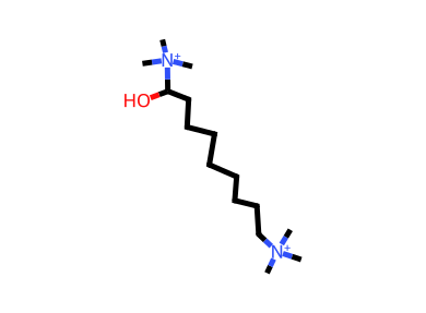 C[N+](C)(C)CCCCCCCCC(O)[N+](C)(C)C